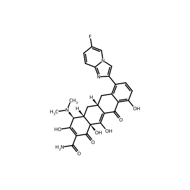 CN(C)[C@@H]1C(O)=C(C(N)=O)C(=O)[C@@]2(O)C(O)=C3C(=O)c4c(O)ccc(-c5cn6cc(F)ccc6n5)c4C[C@H]3C[C@@H]12